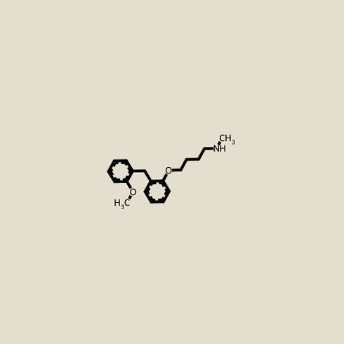 CNCCCCOc1ccccc1Cc1ccccc1OC